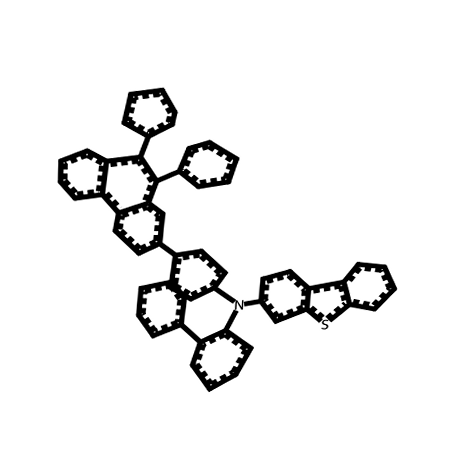 c1ccc(-c2ccccc2N(c2ccc(-c3ccc4c(c3)c(-c3ccccc3)c(-c3ccccc3)c3ccccc34)cc2)c2ccc3c(c2)sc2ccccc23)cc1